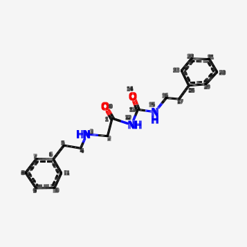 O=C(CNCCc1ccccc1)NC(=O)NCCc1ccccc1